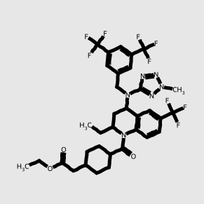 CCOC(=O)CC1CCC(C(=O)N2c3ccc(C(F)(F)F)cc3C(N(Cc3cc(C(F)(F)F)cc(C(F)(F)F)c3)c3nnn(C)n3)CC2CC)CC1